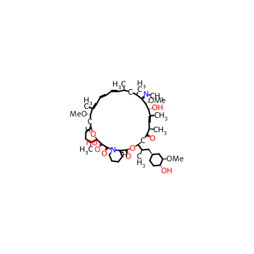 C/N=C1/[C@H](C)C[C@H](C)/C=C/C=C/C=C(\C)[C@@H](OC)C[C@@H]2CC[C@@H](C)[C@@](O)(O2)C(=O)C(=O)N2CCCC[C@H]2C(=O)O[C@H]([C@H](C)C[C@@H]2CC[C@@H](O)[C@H](OC)C2)CC(=O)[C@H](C)/C=C(\C)[C@@H](O)[C@H]1OC